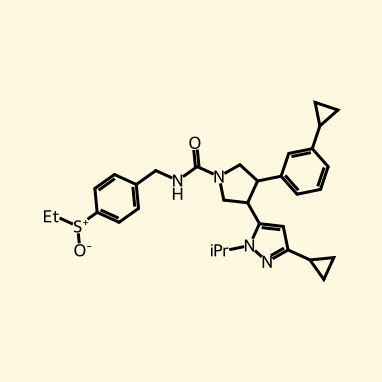 CC[S+]([O-])c1ccc(CNC(=O)N2CC(c3cccc(C4CC4)c3)C(c3cc(C4CC4)nn3C(C)C)C2)cc1